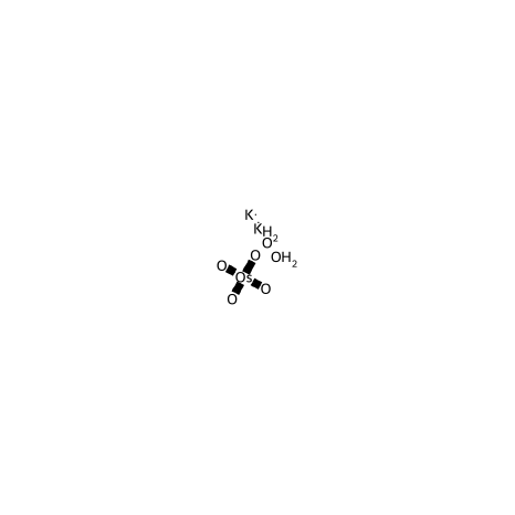 O.O.[K].[K].[O]=[Os](=[O])(=[O])=[O]